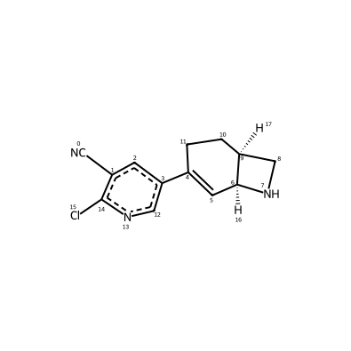 N#Cc1cc(C2=C[C@@H]3NC[C@@H]3CC2)cnc1Cl